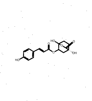 O=C(/C=C/c1ccc(O)cc1)OC1C[C@]2(O)CCC1(O)OC2=O